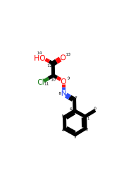 Cc1ccccc1C=NOC(Cl)C(=O)O